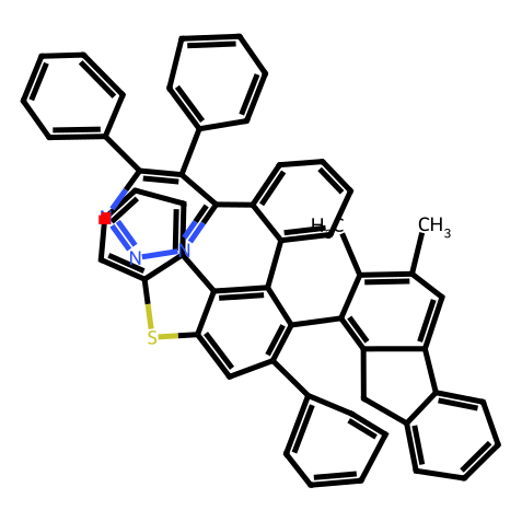 Cc1cc2c(c(-c3c(-c4ccccc4)cc4sc5ccccc5c4c3-c3ccccc3-c3nnnc(-c4ccccc4)c3-c3ccccc3)c1C)Cc1ccccc1-2